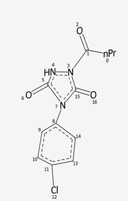 CCCC(=O)n1[nH]c(=O)n(-c2ccc(Cl)cc2)c1=O